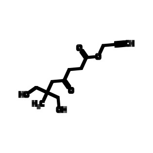 C#CCOC(=O)CCC(=O)CC(C)(CO)CO